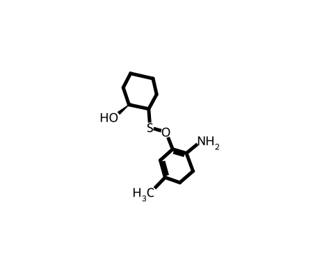 CC1=CC(OSC2CCCC[C@@H]2O)=C(N)CC1